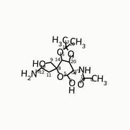 CC(=O)N[C@@H]1C(O)OC(CO)(CCN)C2OC(C)(C)OC21